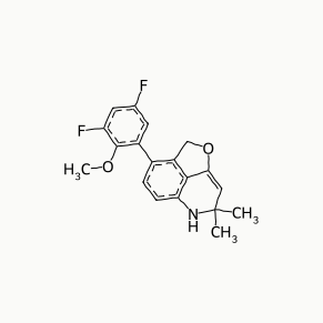 COc1c(F)cc(F)cc1-c1ccc2c3c1COC3=CC(C)(C)N2